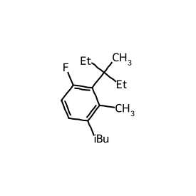 CCC(C)c1ccc(F)c(C(C)(CC)CC)c1C